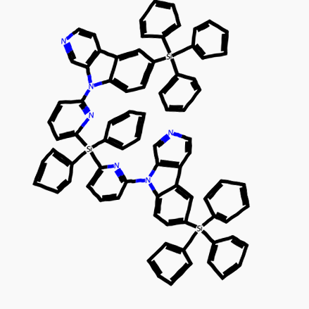 c1ccc([Si](c2ccccc2)(c2ccccc2)c2ccc3c(c2)c2ccncc2n3-c2cccc([Si](c3ccccc3)(c3ccccc3)c3cccc(-n4c5ccc([Si](c6ccccc6)(c6ccccc6)c6ccccc6)cc5c5ccncc54)n3)n2)cc1